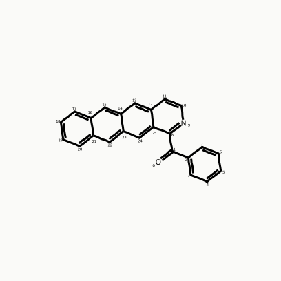 O=C(c1ccccc1)c1nccc2cc3cc4ccccc4cc3cc12